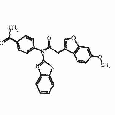 COc1ccc2c(CC(=O)N(c3ccc(C(C)=O)cc3)c3nc4ccccc4s3)coc2c1